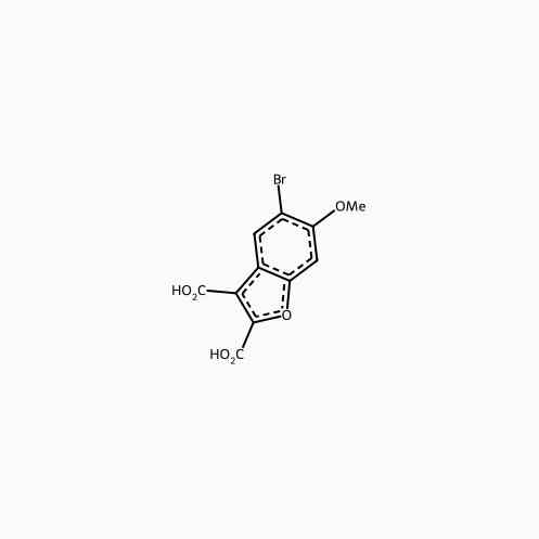 COc1cc2oc(C(=O)O)c(C(=O)O)c2cc1Br